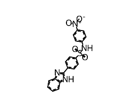 O=[N+]([O-])c1ccc(NS(=O)(=O)c2ccc(-c3nc4ccccc4[nH]3)cc2)cc1